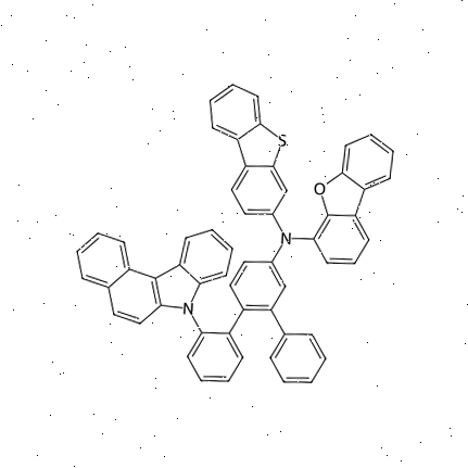 c1ccc(-c2cc(N(c3ccc4c(c3)sc3ccccc34)c3cccc4c3oc3ccccc34)ccc2-c2ccccc2-n2c3ccccc3c3c4ccccc4ccc32)cc1